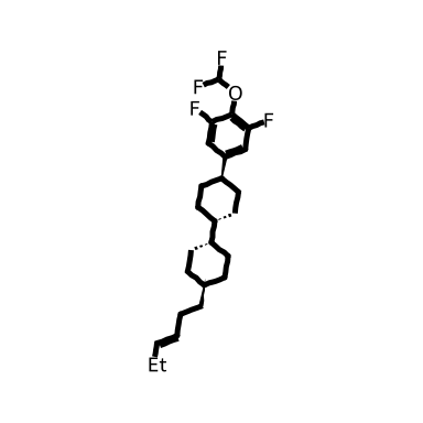 CC/C=C/CC[C@H]1CC[C@H]([C@H]2CC[C@H](c3cc(F)c(OC(F)F)c(F)c3)CC2)CC1